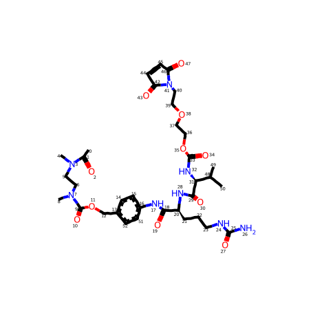 CC(=O)N(C)CCN(C)C(=O)OCc1ccc(NC(=O)[C@H](CCCNC(N)=O)NC(=O)[C@@H](NC(=O)OCCOCCN2C(=O)C=CC2=O)C(C)C)cc1